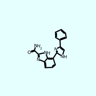 NC(=O)c1nc2cccc(-c3nc(-c4ccccc4)c[nH]3)c2[nH]1